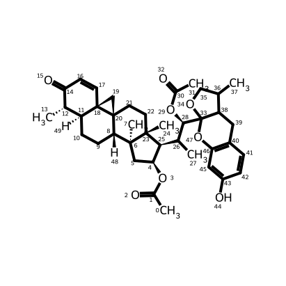 CC(=O)O[C@H]1C[C@@]2(C)[C@@H]3CC[C@H]4[C@H](C)C(=O)C=C[C@@]45C[C@@]35CC[C@]2(C)[C@H]1C(C)[C@@H](OC(C)=O)C12OCC(C)C1Cc1ccc(O)cc1O2